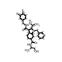 CC(CO)NC(=O)c1ccc2c(C(=O)NCc3ccc(F)c(F)c3)c(C(C)C)n(Cc3cccnc3)c2c1